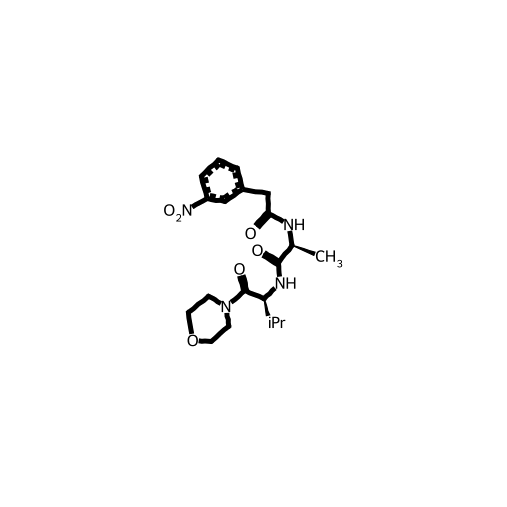 CC(C)[C@H](NC(=O)[C@H](C)NC(=O)Cc1cccc([N+](=O)[O-])c1)C(=O)N1CCOCC1